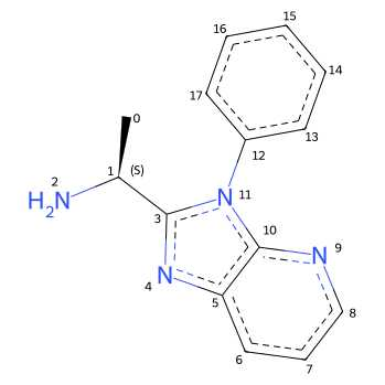 C[C@H](N)c1nc2cccnc2n1-c1ccccc1